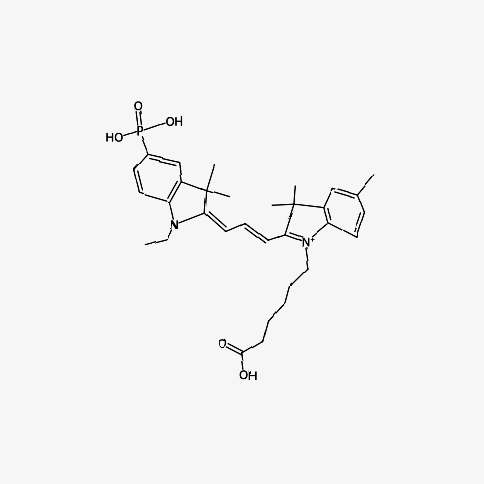 CCN1/C(=C/C=C/C2=[N+](CCCCCC(=O)O)c3ccc(C)cc3C2(C)C)C(C)(C)c2cc(P(=O)(O)O)ccc21